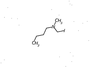 CCCCN(C)CI